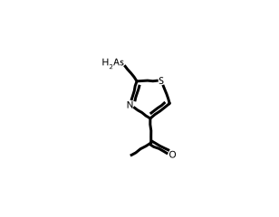 CC(=O)c1csc([AsH2])n1